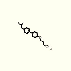 CCCCOc1ccc(-c2ccc(C=C(F)F)cc2)cc1